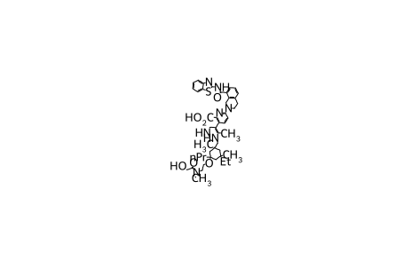 CCCC1(OCCN(C)C(=O)CO)CC(C)(CC)CC(C)(CN/C(C)=C(\C=N)c2ccc(N3CCc4cccc(C(=O)Nc5nc6ccccc6s5)c4C3)nc2C(=O)O)C1